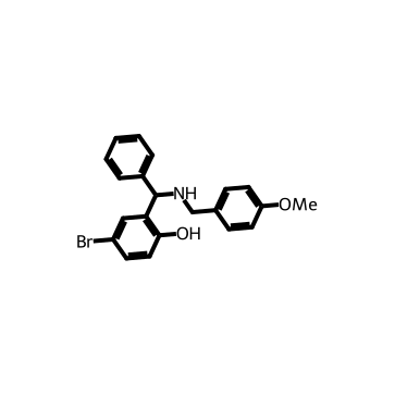 COc1ccc(CNC(c2ccccc2)c2cc(Br)ccc2O)cc1